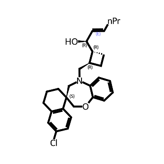 CCC/C=C/[C@H](O)[C@@H]1CC[C@H]1CN1C[C@@]2(CCCc3cc(Cl)ccc32)COc2ccccc21